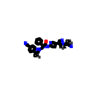 C[C@H](CNCC(C(=O)Nc1ccc(-c2cnn(C(C)(C)C#N)c2)cn1)c1ccccc1)c1ccc(C#N)cc1